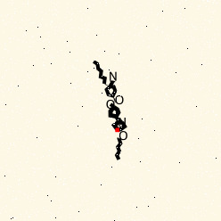 CCCCCCC[C@]1(C#N)CC[C@H](C(=O)Oc2ccc(-c3ccc(OCCCCCC)cn3)cc2)CC1